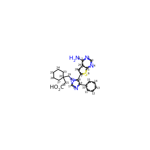 Nc1ncnc2sc(-c3c(-c4ccccc4)ncn3CC3(CC(=O)O)CCCCC3)cc12